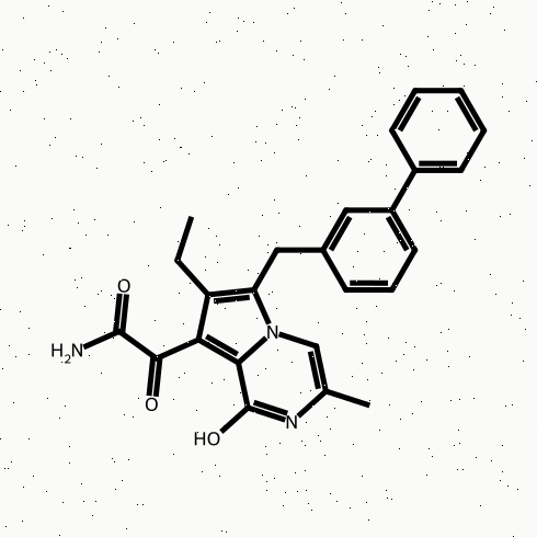 CCc1c(C(=O)C(N)=O)c2c(O)nc(C)cn2c1Cc1cccc(-c2ccccc2)c1